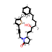 C[C@@H](CCCc1ccccc1)[C@H](O)C=C[C@H]1CCC(=O)N1CC#Cc1ccc(C(=O)O)s1